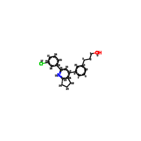 OCCCc1cccc(-c2cc(-c3cccc(Cl)c3)nc3c2CCC3)c1